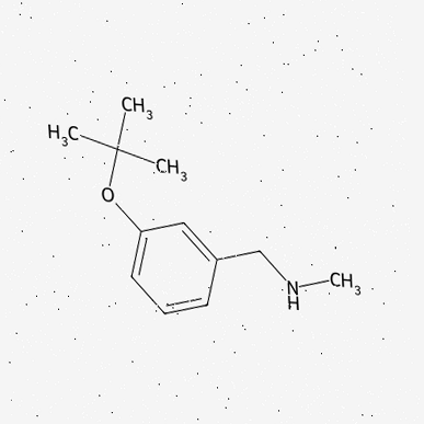 CNCc1cccc(OC(C)(C)C)c1